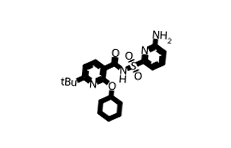 CC(C)(C)c1ccc(C(=O)NS(=O)(=O)c2cccc(N)n2)c(OC2CCCCC2)n1